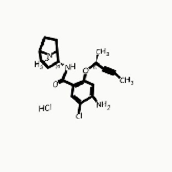 CC#C[C@H](C)Oc1cc(N)c(Cl)cc1C(=O)N[C@@H]1CCC2CCC1N2C.Cl